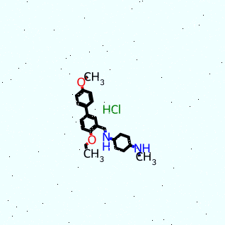 CCOc1ccc(-c2ccc(OC)cc2)cc1CNC1CCC(NC)CC1.Cl